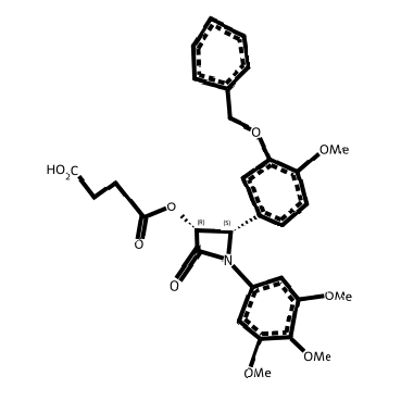 COc1ccc([C@H]2[C@@H](OC(=O)CCC(=O)O)C(=O)N2c2cc(OC)c(OC)c(OC)c2)cc1OCc1ccccc1